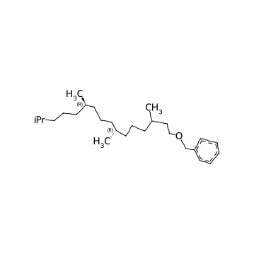 CC(C)CCC[C@@H](C)CCC[C@@H](C)CCCC(C)CCOCc1ccccc1